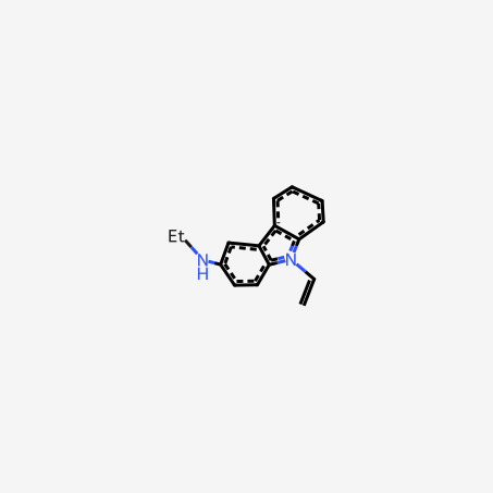 C=Cn1c2ccccc2c2cc(NCC)ccc21